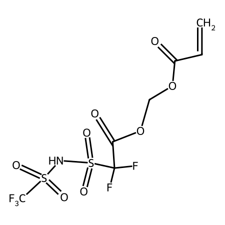 C=CC(=O)OCOC(=O)C(F)(F)S(=O)(=O)NS(=O)(=O)C(F)(F)F